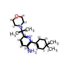 CC1(C)CC=C(c2nc(C(C)(C)N3CCOCC3)ccc2N)CC1